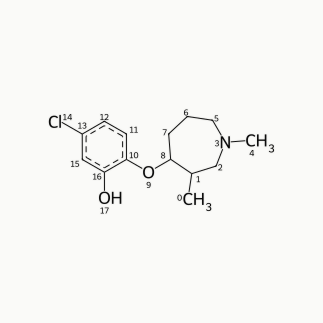 CC1CN(C)CCCC1Oc1ccc(Cl)cc1O